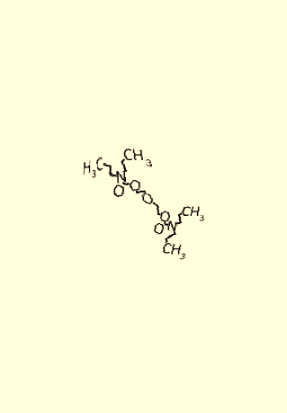 CCCN(CCC)C(=O)OCCOCCOC(=O)N(CCC)CCC